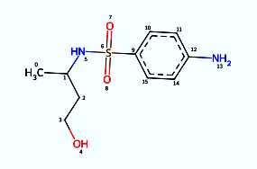 CC(CCO)NS(=O)(=O)c1ccc(N)cc1